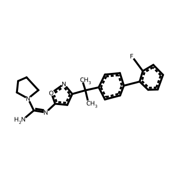 CC(C)(c1ccc(-c2ccccc2F)cc1)c1cc(/N=C(/N)N2CCCC2)on1